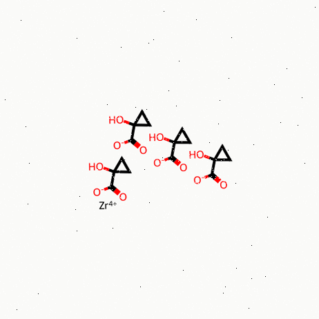 O=C([O-])C1(O)CC1.O=C([O-])C1(O)CC1.O=C([O-])C1(O)CC1.O=C([O-])C1(O)CC1.[Zr+4]